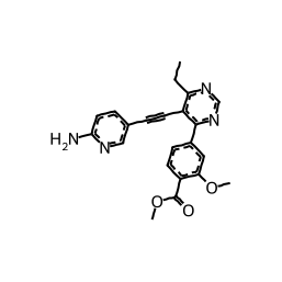 CCc1ncnc(-c2ccc(C(=O)OC)c(OC)c2)c1C#Cc1ccc(N)nc1